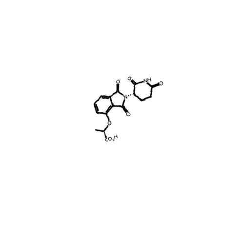 C[C@@H](Oc1cccc2c1C(=O)N([C@H]1CCC(=O)NC1=O)C2=O)C(=O)O